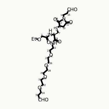 CCOCC(=O)N[C@@H](CSC1CC(=O)N(CCC=O)C1=O)C(=O)NCCOCCOCCOCCOCCC=O